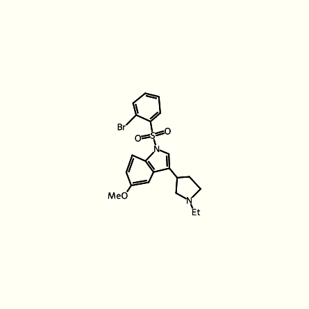 CCN1CCC(c2cn(S(=O)(=O)c3ccccc3Br)c3ccc(OC)cc23)C1